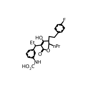 CCCC1OC(=O)C(C(CC)c2cccc(NC(=O)O)c2)=C(O)C1CCc1ccc(F)cc1